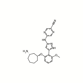 COc1cccc(O[C@H]2CCCC[C@H](N)C2)c1-c1cc(Nc2cnc(C#N)cn2)n[nH]1